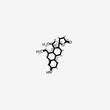 C=CC1CC2=CC(=N)CCC2C2CC[C@@]3(CC)C(C12)[C@@H](C)C[C@@]31CCC(=O)O1